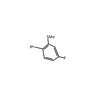 CSc1cc(F)ccc1C(C)C